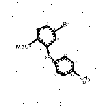 COc1ccc(Br)cc1Sc1ccc(C)cc1